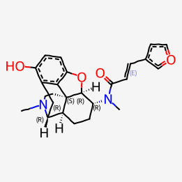 CN1CC[C@@]23c4c5ccc(O)c4C[C@@H]1[C@@H]2CC[C@@H](N(C)C(=O)/C=C/c1ccoc1)[C@@H]3O5